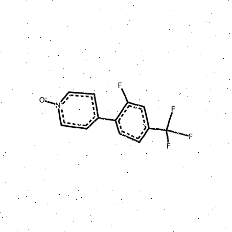 [O-][n+]1ccc(-c2ccc(C(F)(F)F)cc2F)cc1